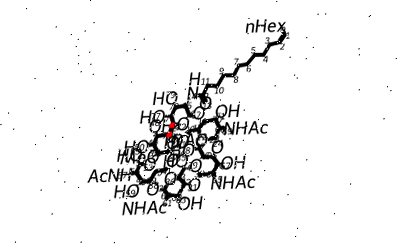 CCCCCC/C=C\CCCCCCCCCC(=O)N[C@@H]1C(O[C@@H]2C(CO)O[C@@H](O[C@@H]3C(CO)O[C@@H](O[C@@H]4C(CO)O[C@@H](O[C@@H]5C(COC6OC(C)[C@@H](O)C(O)[C@H]6OC)O[C@@H](O)C(NC(C)=O)[C@H]5O)C(NC(C)=O)[C@H]4O)C(NC(C)=O)[C@H]3O)C(NC(C)=O)[C@H]2O)OC(COC(C)=O)[C@@H](O)[C@@H]1O